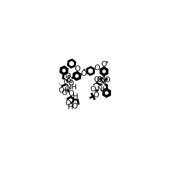 COc1ccc(S(=O)(=O)N(Cc2ccccc2)[C@H](NC(=O)OC(C)(C)C)[C@@H](C)O)cc1OC1CCCCC1.COc1ccc(S(=O)(=O)N(Cc2ccccc2)[C@H](NC(=O)O[C@H]2CO[C@H]3OCC[C@H]32)[C@@H](C)O)cc1OC1CCCCC1